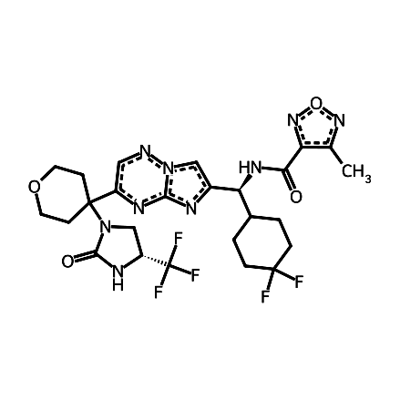 Cc1nonc1C(=O)N[C@H](c1cn2ncc(C3(N4C[C@H](C(F)(F)F)NC4=O)CCOCC3)nc2n1)C1CCC(F)(F)CC1